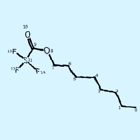 CCCCCCCCOC(=O)S(F)(F)F